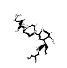 CC/C(C)=C\N=C(/CC)C1C=C(N2CCN(C(=O)CCO)CC2)N=CC1Cl